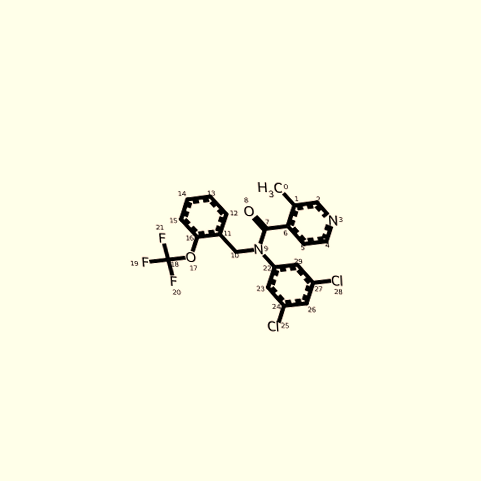 Cc1cnccc1C(=O)N(Cc1ccccc1OC(F)(F)F)c1cc(Cl)cc(Cl)c1